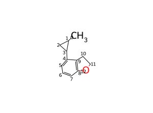 CC1CC1c1cccc2c1CCO2